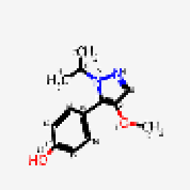 COc1cnn(C(C)C)c1-c1ccc(O)cc1